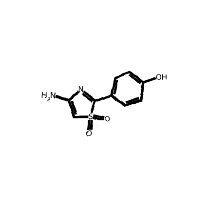 NC1=CS(=O)(=O)C(c2ccc(O)cc2)=N1